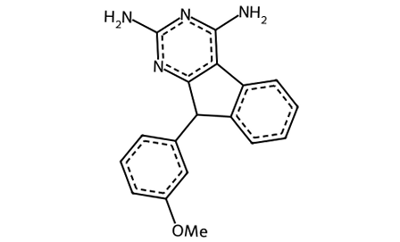 COc1cccc(C2c3ccccc3-c3c(N)nc(N)nc32)c1